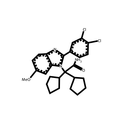 COc1ccc2nc(-c3ccc(Cl)c(Cl)c3)n(C(C(N)=O)(C3CCCC3)C3CCCC3)c2c1